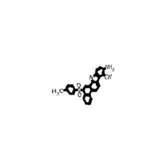 Cc1ccc(S(=O)(=O)C2C=c3c(ccc4c3=Nc3ccc(N)c(C#N)c3-4)C3=C2CCC=C3)cc1